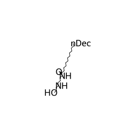 CCCCCCCCCCCCCCCCCCCCCC(=O)NCCCNCCO